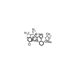 COc1cccc(OC)c1-n1c(NS(=O)(=O)[C@@H](C)[C@H](C)c2ncc(Cl)cn2)nnc1[C@H]1CCO[C@@H]1C